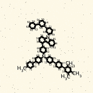 Cc1ccc(-c2ccc(N(c3ccc(-c4ccc(-c5cc(C)c(C)cc5C)cc4)cc3)c3ccc(-c4cccc5c4c4ccccc4n5-c4cccc(-c5cccc(-c6ccccc6)c5)c4)cc3)cc2)cc1